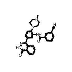 CN1CCN(c2ccc(-c3n[nH]c(=O)c4ccccc34)cc2NC(=O)c2cccc(C#N)c2)CC1